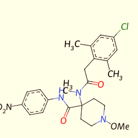 CON1CCC(C(=O)Nc2ccc([N+](=O)[O-])cc2)(N(C)C(=O)Cc2c(C)cc(Cl)cc2C)CC1